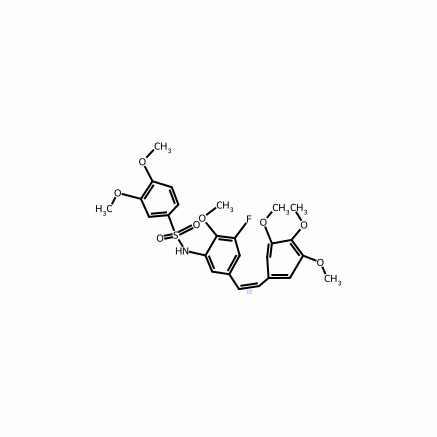 COc1ccc(S(=O)(=O)Nc2cc(/C=C\c3cc(OC)c(OC)c(OC)c3)cc(F)c2OC)cc1OC